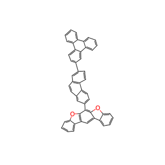 c1ccc2c(c1)oc1c(-c3ccc4c(ccc5cc(-c6ccc7c8ccccc8c8ccccc8c7c6)ccc54)c3)c3oc4ccccc4c3cc12